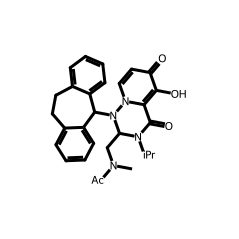 CC(=O)N(C)CC1N(C(C)C)C(=O)c2c(O)c(=O)ccn2N1C1c2ccccc2CCc2ccccc21